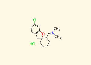 CN(C)CC1CCCCC12Cc1ccc(Cl)cc1O2.Cl